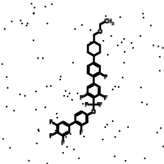 CCOCC1CCC(c2ccc(-c3cc(F)c(C(F)(F)Oc4ccc(-c5cc(F)c(F)c(F)c5)c(F)c4)c(F)c3)c(F)c2)CC1